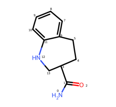 NC(=O)C1CCc2ccccc2NC1